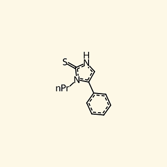 CCCn1c(-c2ccccc2)c[nH]c1=S